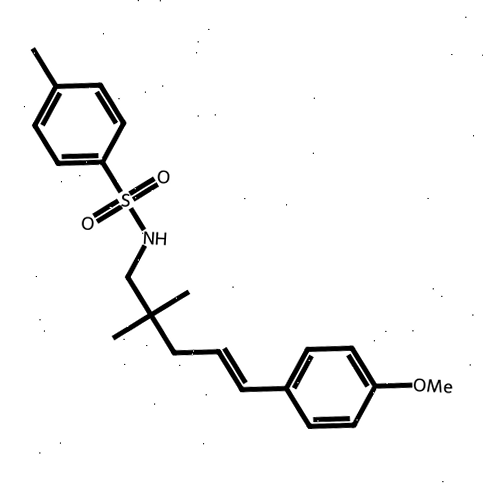 COc1ccc(C=CCC(C)(C)CNS(=O)(=O)c2ccc(C)cc2)cc1